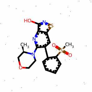 C[C@@H]1COCCN1c1nc2c(O)nsc2cc1-c1ccccc1S(C)(=O)=O